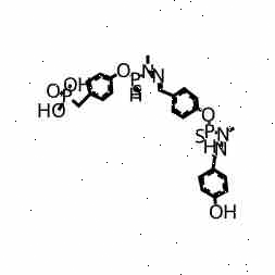 CN(/N=C/c1ccc(O)cc1)[PH](=S)Oc1ccc(/C=N/N(C)[PH](=S)Oc2ccc(CP(=O)(O)O)cc2)cc1